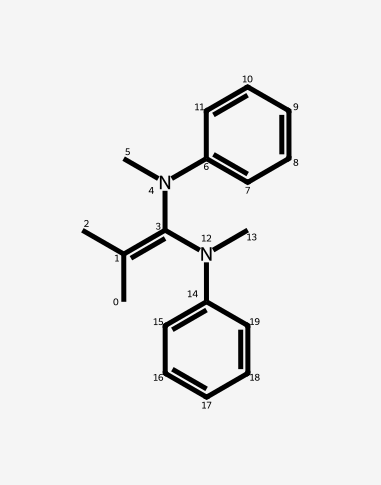 CC(C)=C(N(C)c1ccccc1)N(C)c1ccccc1